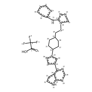 O=C(O)C(F)(F)F.c1cnc(Nc2nncn2SCC2CCC(n3cc(-c4ncnc5[nH]ccc45)cn3)CC2)nc1